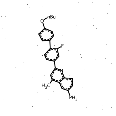 CCCCOc1ccc(-c2ccc(-c3cc(C)c4cc(P)ccc4n3)cc2F)cc1